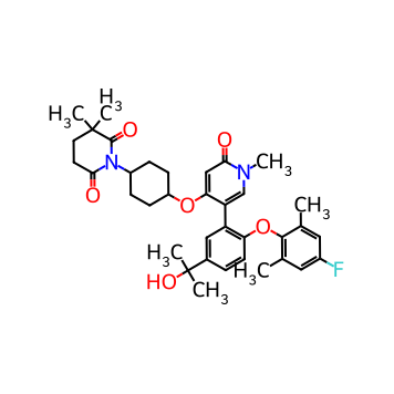 Cc1cc(F)cc(C)c1Oc1ccc(C(C)(C)O)cc1-c1cn(C)c(=O)cc1OC1CCC(N2C(=O)CCC(C)(C)C2=O)CC1